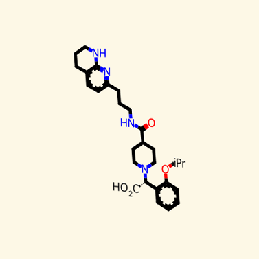 CC(C)Oc1ccccc1[C@H](C(=O)O)N1CCC(C(=O)NCCCc2ccc3c(n2)NCCC3)CC1